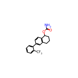 NC(=O)OC1CCCc2cc(-c3ccccc3C(F)(F)F)ccc21